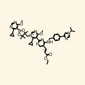 CCOC(=O)/C=C/c1cnc(-c2c(OC)nc[n+](CC3(C)OB(c4c(OC)ncnc4C4CC4)OC3(C)C)c2C2CC2)nc1NCc1ccc(-c2cn(C(C)C)cn2)cc1